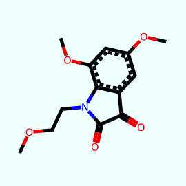 COCCN1C(=O)C(=O)c2cc(OC)cc(OC)c21